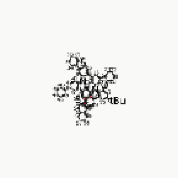 CC(C)(C)c1ccc(N2c3cc4c(cc3B3c5c(cc6c(oc7ccccc76)c52)-c2cc5sc6ccccc6c5cc2N3c2ccc(-c3ccccc3)cc2)sc2cc3ccccc3cc24)c(-c2ccccc2)c1